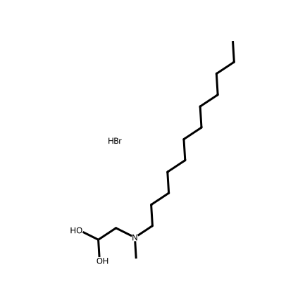 Br.CCCCCCCCCCCCN(C)CC(O)O